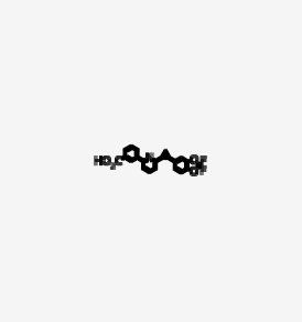 O=C(O)c1cccc(-c2cccc(C3CC3c3ccc4c(c3)OC(F)(F)O4)n2)c1